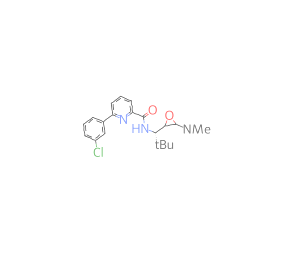 CNC1OC1[C@@H](NC(=O)c1cccc(-c2cccc(Cl)c2)n1)C(C)(C)C